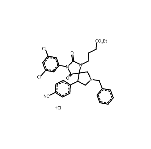 CCOC(=O)CCCN1C(=O)N(c2cc(Cl)cc(Cl)c2)C(=O)C12CN(Cc1ccccc1)CC2c1ccc(C#N)cc1.Cl